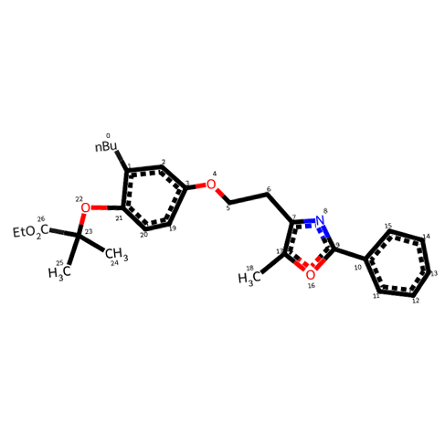 CCCCc1cc(OCCc2nc(-c3ccccc3)oc2C)ccc1OC(C)(C)C(=O)OCC